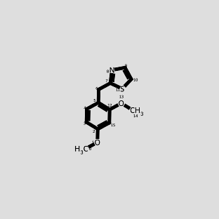 COc1ccc(Cc2nc[c]s2)c(OC)c1